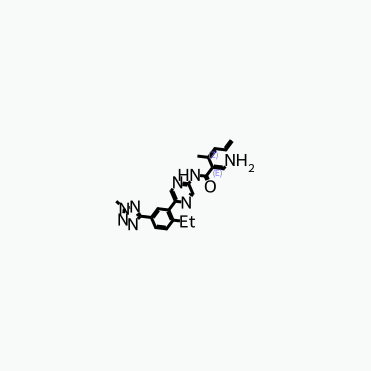 C=C/C=C(C)\C(=C/N)C(=O)Nc1cnc(-c2cc(-c3nnn(C)n3)ccc2CC)cn1